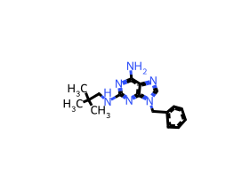 CC(C)(C)CNc1nc(N)c2ncn(Cc3ccccc3)c2n1